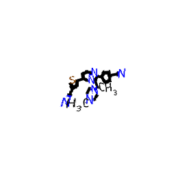 CC(c1c(-c2ccc(C#N)cc2)nc2ccc(-c3cc(C#N)cs3)cn12)N1CCN(C)CC1